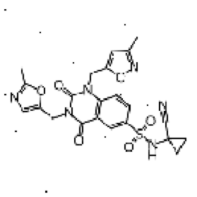 Cc1cc(Cn2c(=O)n(Cc3cnc(C)o3)c(=O)c3cc(S(=O)(=O)NC4(C#N)CC4)ccc32)on1